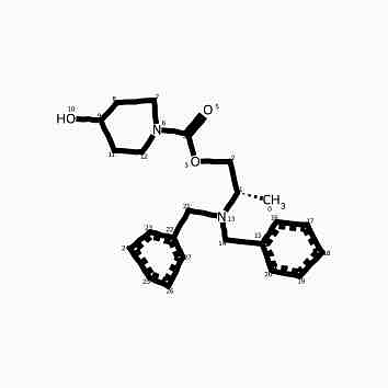 C[C@@H](COC(=O)N1CCC(O)CC1)N(Cc1ccccc1)Cc1ccccc1